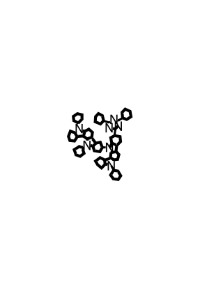 c1ccc(-c2nc(-c3ccccc3)nc(-c3ccc4c5ccc6c(c7ccccc7n6-c6ccccc6)c5n(-c5ccc6c(c5)c5ccc7c(c8ccccc8n7-c7ccccc7)c5n6-c5ccccc5)c4c3)n2)cc1